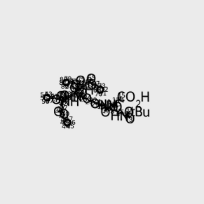 CC(C)(C)OC(=O)NCCCCC(NC(=O)CCC(=O)O)C(=O)NCCOCCOCC(=O)NC(CCC(=O)NC(CCC(=O)OCc1ccccc1)C(=O)OCc1ccccc1)C(=O)NC(CCC(=O)OCc1ccccc1)C(=O)OCc1ccccc1